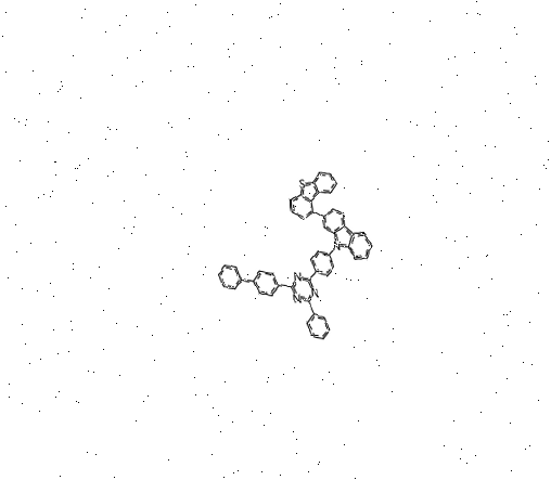 c1ccc(-c2ccc(-c3nc(-c4ccccc4)nc(-c4ccc(-n5c6ccccc6c6ccc(-c7cccc8sc9ccccc9c78)cc65)cc4)n3)cc2)cc1